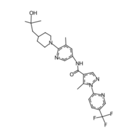 Cc1cc(NC(=O)c2cnn(-c3ccc(C(F)(F)F)cn3)c2C)cnc1N1CCC(CC(C)(C)O)CC1